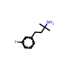 CC(C)(N)CCc1cccc(F)c1